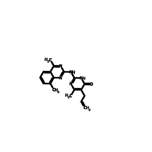 C=CCc1c(C)nc(Nc2nc(C)c3cccc(C)c3n2)[nH]c1=O